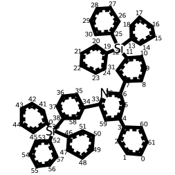 c1ccc(-c2cc(-c3cccc([Si](c4ccccc4)(c4ccccc4)c4ccccc4)c3)nc(-c3cccc([Si](c4ccccc4)(c4ccccc4)c4ccccc4)c3)c2)cc1